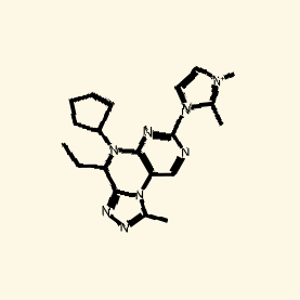 CCC1c2nnc(C)n2-c2cnc(-n3cc[n+](C)c3C)nc2N1C1CCCC1